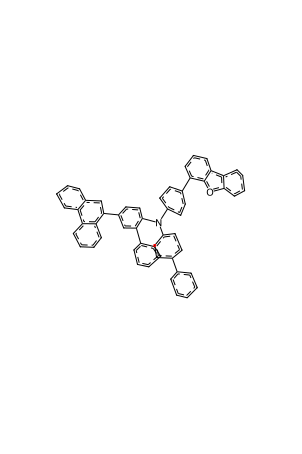 c1ccc(-c2ccc(N(c3ccc(-c4cccc5c4oc4ccccc45)cc3)c3ccc(-c4cc5ccccc5c5ccccc45)cc3-c3ccccc3)cc2)cc1